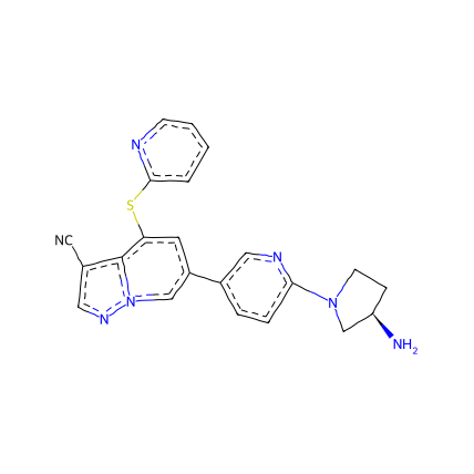 N#Cc1cnn2cc(-c3ccc(N4CC[C@@H](N)C4)nc3)cc(Sc3ccccn3)c12